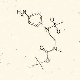 CN(CCN(c1ccc(N)cc1)S(C)(=O)=O)C(=O)OC(C)(C)C